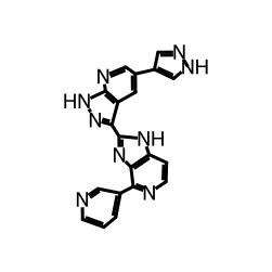 c1cncc(-c2nccc3[nH]c(-c4n[nH]c5ncc(-c6cn[nH]c6)cc45)nc23)c1